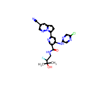 CC(C)(O)C(F)CNC(=O)c1cnc(-c2ccc3cc(C#N)cnn23)cc1Nc1cnc(Cl)cn1